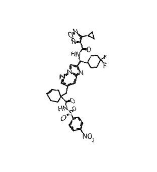 O=C(N[C@H](c1cn2ncc(CC3(C(=O)NS(=O)(=O)c4ccc([N+](=O)[O-])cc4)CC=CCC3)cc2n1)C1CCC(F)(F)CC1)c1nonc1C1CC1